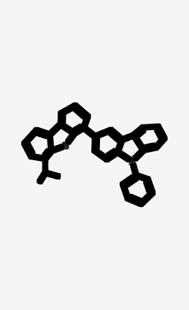 CC(C)c1cccc2c1oc1c(-c3ccc4c(c3)c3ccccc3n4-c3ccccc3)cccc12